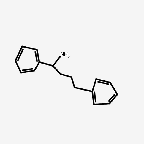 NC(CCCc1ccccc1)c1ccccc1